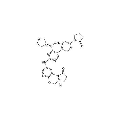 CN(c1nc(Nc2cnc3c(c2)N2C(=O)CC[C@H]2CO3)ncc1-c1ccc(N2CCCC2=O)cc1)[C@H]1CCOC1